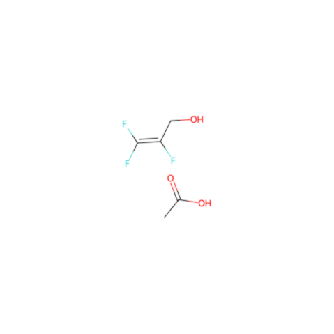 CC(=O)O.OCC(F)=C(F)F